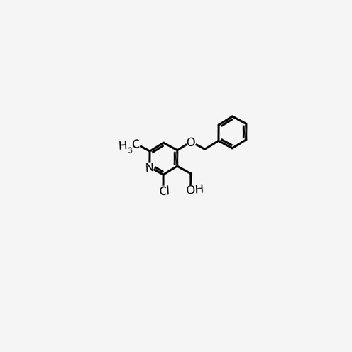 Cc1cc(OCc2ccccc2)c(CO)c(Cl)n1